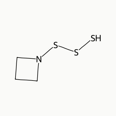 SSSN1CCC1